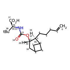 C=CCCC[C@H]1C2CC(C2)C[C@@H]1OC(=O)N[C@H](C(=O)O)C(C)(C)C